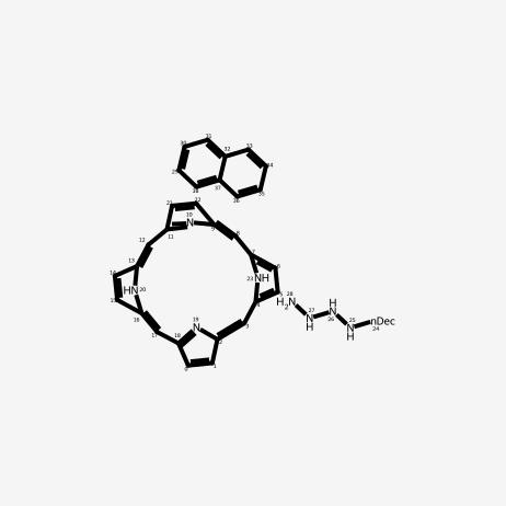 C1=Cc2cc3ccc(cc4nc(cc5ccc(cc1n2)[nH]5)C=C4)[nH]3.CCCCCCCCCCNNNN.c1ccc2ccccc2c1